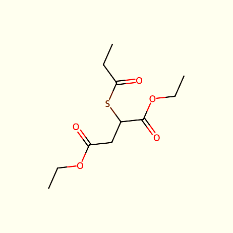 CCOC(=O)CC(SC(=O)CC)C(=O)OCC